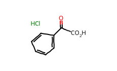 Cl.O=C(O)C(=O)c1ccccc1